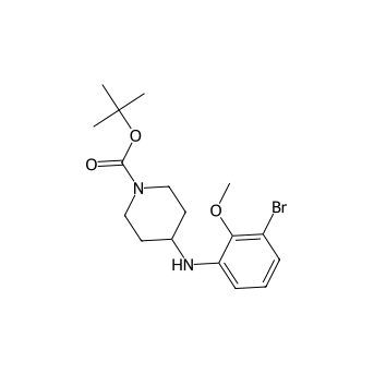 COc1c(Br)cccc1NC1CCN(C(=O)OC(C)(C)C)CC1